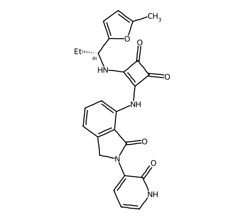 CC[C@@H](Nc1c(Nc2cccc3c2C(=O)N(c2ccc[nH]c2=O)C3)c(=O)c1=O)c1ccc(C)o1